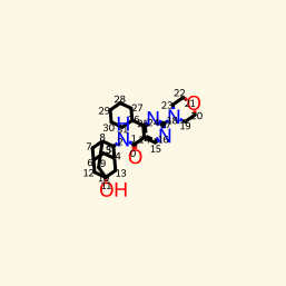 O=C(NC1C2CC3CC1CC(O)(C3)C2)c1cnc(N2CCOCC2)nc1C1CCCCC1